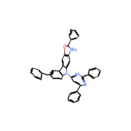 c1ccc(-c2ccc3c(c2)c2cc4c(cc2n3-c2cc(-c3ccccc3)nc(-c3ccccc3)n2)NC(c2ccccc2)O4)cc1